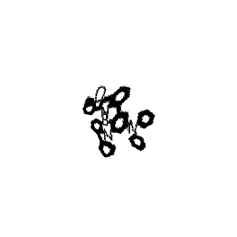 c1ccc(N(c2ccccc2)c2cc3c4c(c2)-n2c5ccccc5c5cccc(c52)B4n2c4c-3cccc4c3oc4ccccc4c32)cc1